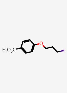 CCOC(=O)c1ccc(OCCCI)cc1